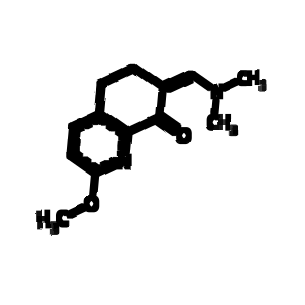 COc1ccc2c(n1)C(=O)/C(=C\N(C)C)CC2